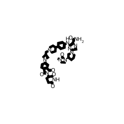 CN1CCN([C@@H]2CCCN(c3cnc(C(N)=O)c(Nc4ccc(C5CCN(CC6CN(c7ccc8c(c7)C(=O)N(C7CCC(=O)NC7=O)C8=O)C6)CC5)cc4)n3)C2)C1=O